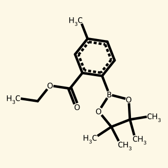 CCOC(=O)c1cc(C)ccc1B1OC(C)(C)C(C)(C)O1